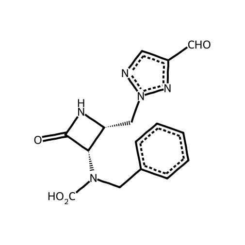 O=Cc1cnn(C[C@H]2NC(=O)[C@H]2N(Cc2ccccc2)C(=O)O)n1